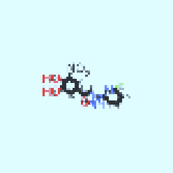 O=[N+]([O-])c1cc(C2=CN(c3cccc(F)n3)NO2)cc(O)c1O